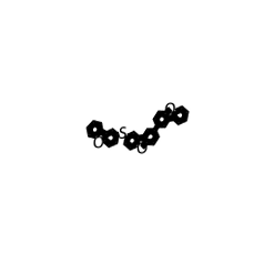 c1ccc2c(c1)oc1ccc(Sc3ccc4oc5ccc(-c6ccc7oc8ccccc8c7c6)cc5c4c3)cc12